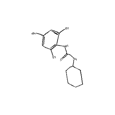 CCc1cc(C(C)CC)cc(CC)c1NC(=S)NC1CCCCC1